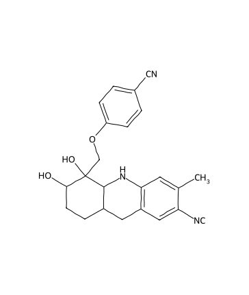 [C-]#[N+]c1cc2c(cc1C)NC1C(CCC(O)C1(O)COc1ccc(C#N)cc1)C2